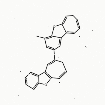 Cc1cc(C2=Cc3c(oc4ccccc34)C=CC2)cc2c3c(oc12)=CCC=CC=3